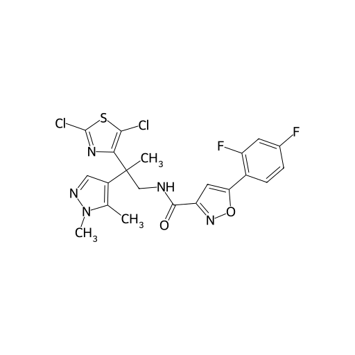 Cc1c(C(C)(CNC(=O)c2cc(-c3ccc(F)cc3F)on2)c2nc(Cl)sc2Cl)cnn1C